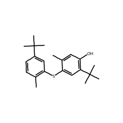 Cc1ccc(C(C)(C)C)cc1Sc1cc(C(C)(C)C)c(O)cc1C